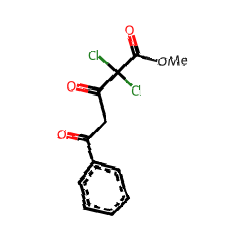 COC(=O)C(Cl)(Cl)C(=O)CC(=O)c1ccccc1